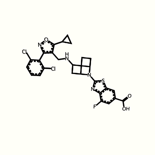 O=C(O)c1cc(F)c2nc(N3C4CCC45C(NCc4c(-c6c(Cl)cccc6Cl)noc4C4CC4)CC35)sc2c1